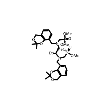 CCC(CN(Cc1cccc2c1OC(C)(C)OC2)CP(=O)(OC)OC)N(Cc1cccc2c1OC(C)(C)OC2)CP(=O)(OC)OC